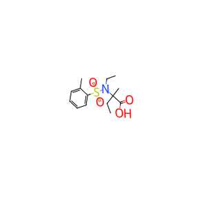 CCN(C(C)(CC)C(=O)O)S(=O)(=O)c1ccccc1C